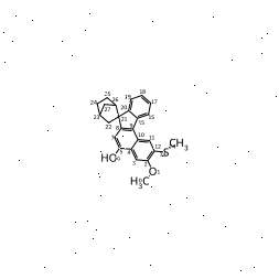 COc1cc2c(O)cc3c(c2cc1SC)-c1ccccc1C31CC2CCC1C2